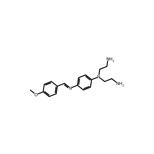 COc1ccc(C=Nc2ccc(N(CCN)CCN)cc2)cc1